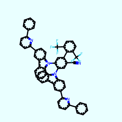 N#Cc1cc(-n2c3ccccc3c3cc(-c4cccc(-c5ccccc5)n4)ccc32)c(-n2c3ccccc3c3cc(-c4cccc(-c5ccccc5)n4)ccc32)cc1-c1c(C(F)(F)F)cccc1C(F)(F)F